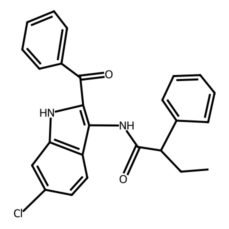 CCC(C(=O)Nc1c(C(=O)c2ccccc2)[nH]c2cc(Cl)ccc12)c1ccccc1